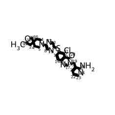 C[C@H]1CC2(CCN(c3cnc(Sc4ccc5ncn(Cc6cccnc6N)c(=O)c5c4Cl)cn3)CC2)CO1